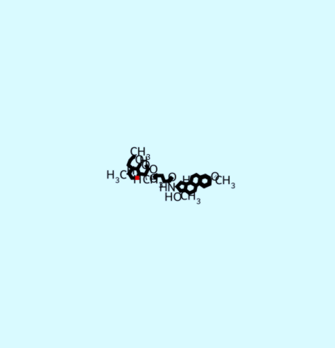 COc1ccc2c(c1)CC[C@@H]1C2CC[C@@]2(C)C1C[C@@H](NC(=O)CCC(=O)O[C@@H]1O[C@@H]3O[C@@H](C)CC[C@@H]4C3[C@@H](CC[C@H]4C)[C@H]1C)[C@@H]2O